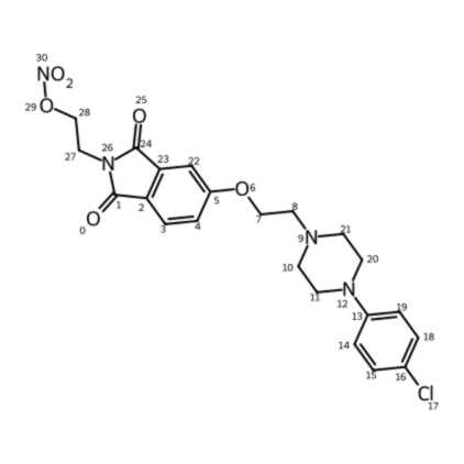 O=C1c2ccc(OCCN3CCN(c4ccc(Cl)cc4)CC3)cc2C(=O)N1CCO[N+](=O)[O-]